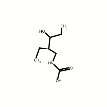 CCC(O)[C@H](CC)CNC(=O)O